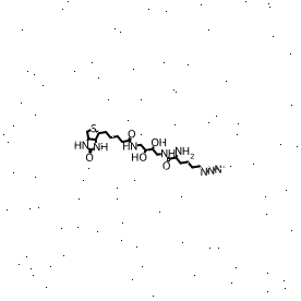 [N-]=[N+]=NCCCCC(N)C(=O)NCC(O)C(O)CNC(=O)CCCCC1SCC2NC(=O)NC21